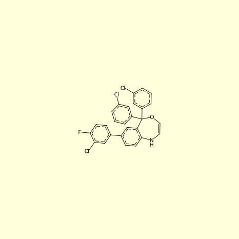 Fc1ccc(-c2ccc3c(c2)C(c2cccc(Cl)c2)(c2cccc(Cl)c2)OC=CN3)cc1Cl